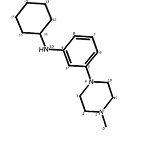 CN1CCN(c2cc[c]c(NC3CCCCC3)c2)CC1